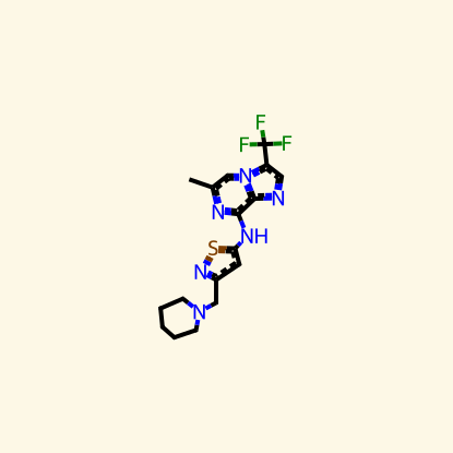 Cc1cn2c(C(F)(F)F)cnc2c(Nc2cc(CN3CCCCC3)ns2)n1